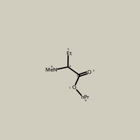 CCCOC(=O)C(CC)NC